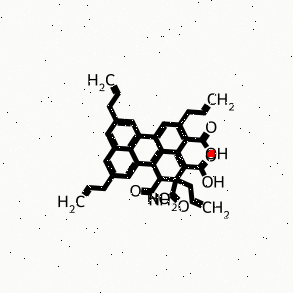 C=CCc1cc2cc(CC=C)cc3c4cc(CC=C)c(C(=O)O)c5c4c(c(c1)c23)C(C(N)=O)C(CC=C)(C(=O)O)C=5C(=O)O